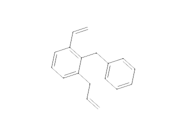 C=CCc1cccc(C=C)c1Cc1ccccc1